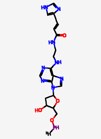 [3H]POCC1OC(n2cnc3c(NCCNC(=O)/C=C/c4c[nH]cn4)ncnc32)CC1O